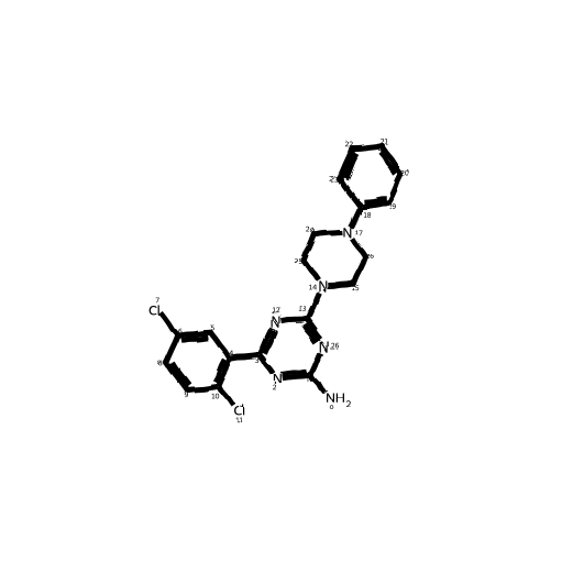 Nc1nc(-c2cc(Cl)ccc2Cl)nc(N2CCN(c3ccccc3)CC2)n1